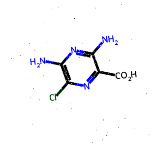 Nc1nc(N)c(C(=O)O)nc1Cl